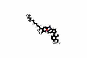 C=Cc1c(OC)ccc(C2=CC=C3/C(Cc4ccc(C(=O)CCCCCNCCO)c(Cl)c4)=C/C/C=C\CC32)c1F